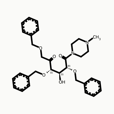 CN1CCN(C(=O)[C@H](OCc2ccccc2)[C@@H](O)[C@H](OCc2ccccc2)C(=O)COCc2ccccc2)CC1